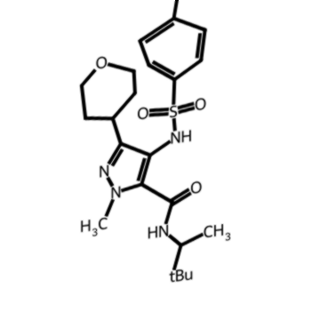 CC(NC(=O)c1c(NS(=O)(=O)c2ccc(C#N)cc2)c(C2CCOCC2)nn1C)C(C)(C)C